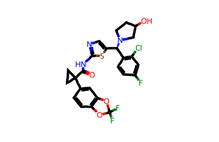 O=C(Nc1ncc([C@H](c2ccc(F)cc2Cl)N2CCC(O)C2)s1)C1(c2ccc3c(c2)OC(F)(F)O3)CC1